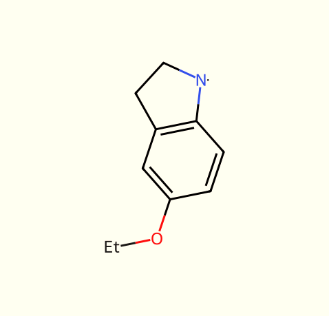 CCOc1ccc2c(c1)CC[N]2